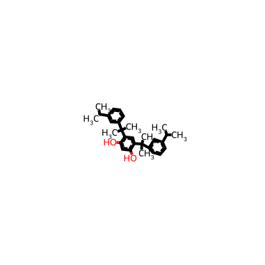 CC(C)c1cccc(C(C)(C)c2cc(C(C)(C)c3cccc(C(C)C)c3)c(O)cc2O)c1